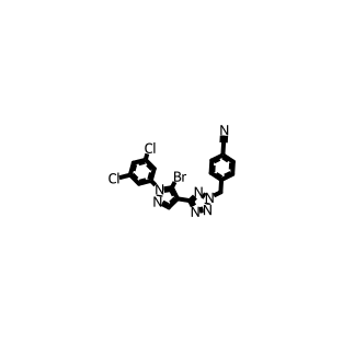 N#Cc1ccc(Cn2nnc(-c3cnn(-c4cc(Cl)cc(Cl)c4)c3Br)n2)cc1